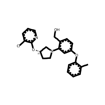 Cc1ccccc1Oc1ccc(CO)c(N2CC[C@H](Oc3ncccc3Cl)C2)c1